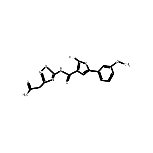 COc1cccc(-c2cc(C(=O)Nc3nc(CC(C)=O)ns3)c(C)s2)c1